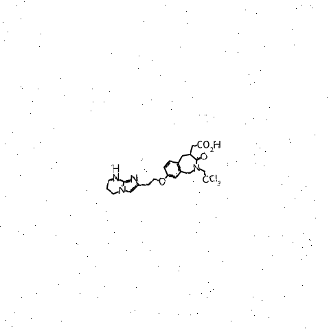 O=C(O)CC1Cc2ccc(OCCc3cn4c(n3)NCCC4)cc2CN(CC(Cl)(Cl)Cl)C1=O